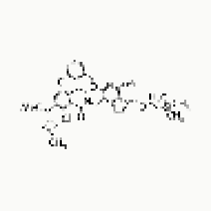 CCCc1nc(OCc2ccccc2)c(CN2CCc3c(Cl)cc(C(OC)C4CN(C)C4)c(Cl)c3C2=O)c2ccn(COCC[Si](C)(C)C)c12